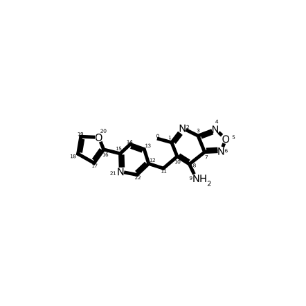 Cc1nc2nonc2c(N)c1Cc1ccc(-c2ccco2)nc1